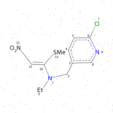 CCN(Cc1ccc(Cl)nc1)/C(=C/[N+](=O)[O-])SC